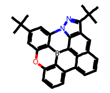 CC(C)(C)c1cc2c3c(c1)-n1nc(C(C)(C)C)c4cc5cccc6c5c(c41)B3c1c(cccc1-6)O2